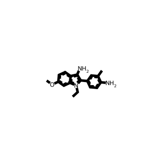 CCn1c(-c2ccc(N)c(C)c2)c(N)c2ccc(OC)cc21